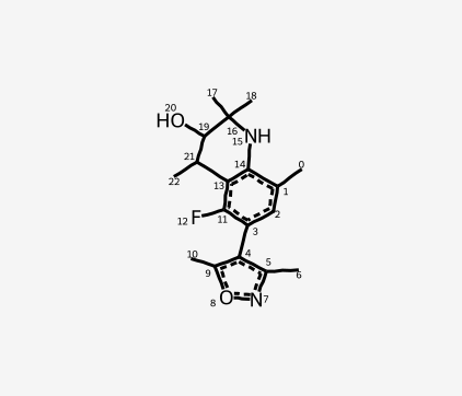 Cc1cc(-c2c(C)noc2C)c(F)c2c1NC(C)(C)C(O)C2C